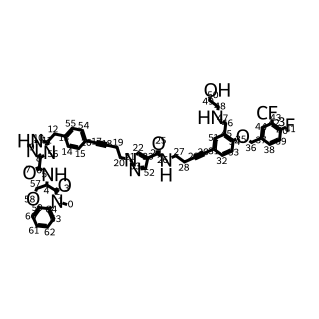 CN1C(=O)C(NC(=O)c2n[nH]c(Cc3ccc(C#CCCn4cc(C(=O)NCCC#Cc5ccc(OCc6ccc(F)c(C(F)(F)F)c6)c(CNCCO)c5)cn4)cc3)n2)COc2ccccc21